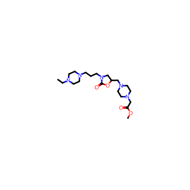 CCN1CCN(CCCN2CC(CN3CCN(CC(=O)OC)CC3)OC2=O)CC1